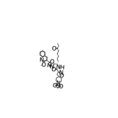 CCC(=O)CCCCC[C@H](NC(=O)C1=NOC2(CCN(S(C)(=O)=O)CC2)C1)c1nnc(-c2cc3ccccc3nc2OC)o1